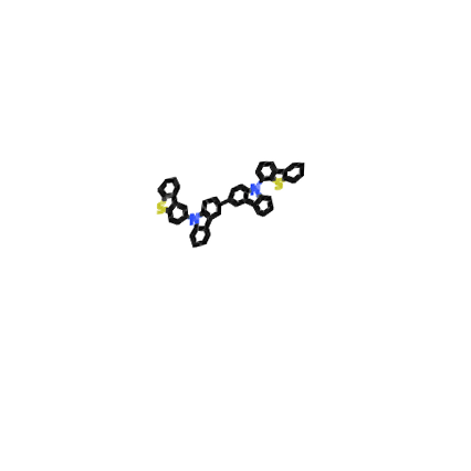 c1ccc2c(c1)sc1ccc(-n3c4ccccc4c4cc(-c5ccc6c(c5)c5ccccc5n6-c5cccc6c5sc5ccccc56)ccc43)cc12